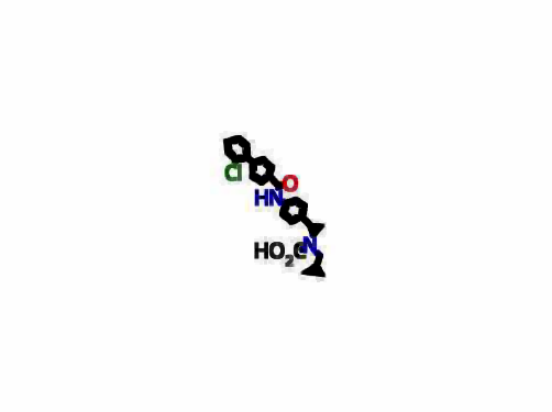 O=C(Nc1ccc(C2CC2N(CC2CC2)C(=O)O)cc1)c1ccc(-c2ccccc2Cl)cc1